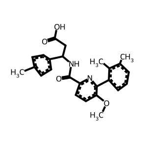 COc1ccc(C(=O)NC(CC(=O)O)c2ccc(C)cc2)nc1-c1cccc(C)c1C